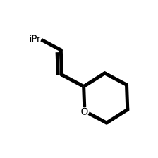 CC(C)/C=C/C1CCCCO1